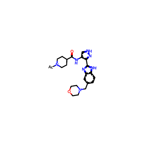 CC(=O)N1CCC(C(=O)Nc2c[nH]nc2-c2nc3cc(CN4CCOCC4)ccc3[nH]2)CC1